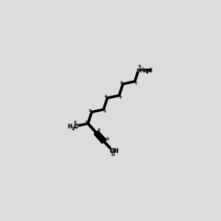 CCCCCCCCCCCCCC(C)C#CO